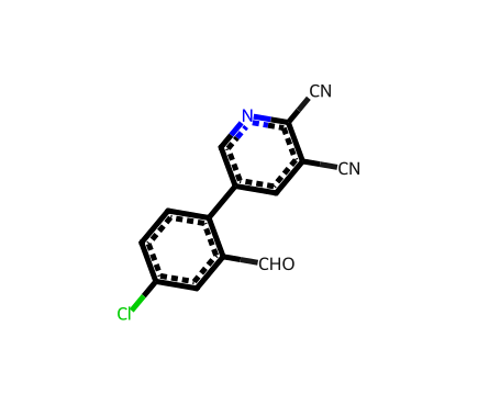 N#Cc1cc(-c2ccc(Cl)cc2C=O)cnc1C#N